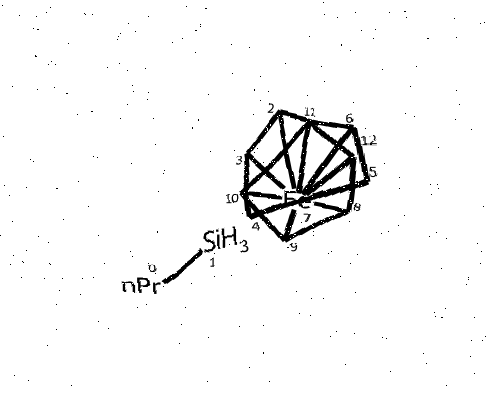 CCC[SiH3].[CH]12[CH]3[CH]4[CH]5[CH]1[Fe]23451678[CH]2[CH]1[CH]6[CH]7[CH]28